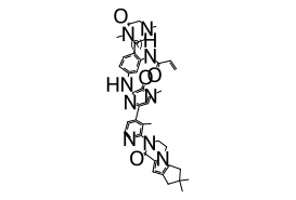 C=CC(=O)Nc1cc(Nc2nc(-c3ccnc(N4CCn5c(cc6c5CC(C)(C)C6)C4=O)c3C)cn(C)c2=O)ccc1[C@@H]1CN(C)CC(=O)N1C